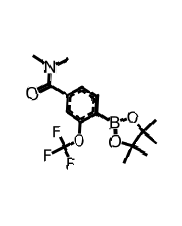 CN(C)C(=O)c1ccc(B2OC(C)(C)C(C)(C)O2)c(OC(F)(F)F)c1